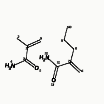 C=C(C)C(N)=O.C=C(CCC)C(N)=O